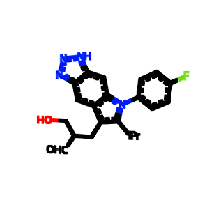 CC(C)c1c(CC(C=O)CO)c2cc3nn[nH]c3cc2n1-c1ccc(F)cc1